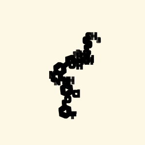 [2H]C([2H])(CSOOC)NC([2H])([2H])c1ccc(-c2ccc3ncnc(Nc4ccc(OCc5cccc(F)c5)c(Cl)c4)c3c2)o1